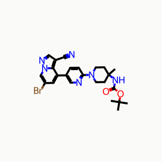 CC1(NC(=O)OC(C)(C)C)CCN(c2ccc(-c3cc(Br)cn4ncc(C#N)c34)cn2)CC1